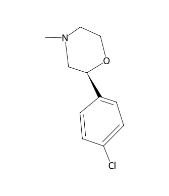 CN1CCO[C@@H](c2ccc(Cl)cc2)C1